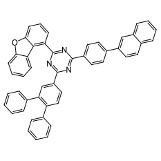 c1ccc(-c2ccc(-c3nc(-c4ccc(-c5ccc6ccccc6c5)cc4)nc(-c4cccc5oc6ccccc6c45)n3)cc2-c2ccccc2)cc1